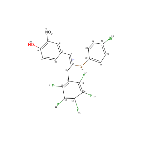 O=[N+]([O-])c1cc(/C=C(\Cc2c(F)c(F)c(F)c(F)c2F)Sc2ccc(Br)cc2)ccc1O